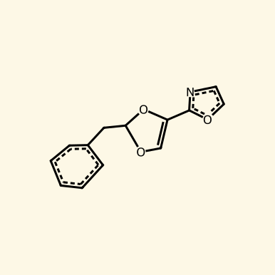 C1=C(c2ncco2)OC(Cc2ccccc2)O1